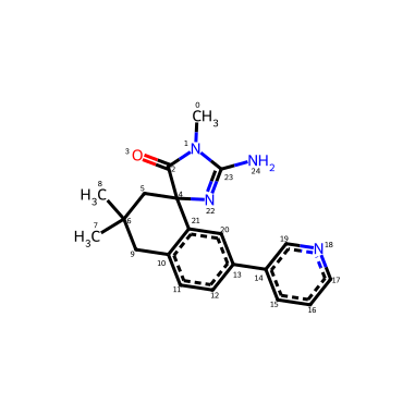 CN1C(=O)C2(CC(C)(C)Cc3ccc(-c4cccnc4)cc32)N=C1N